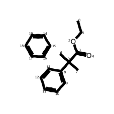 CCOC(=O)C(C)(C)c1ccccc1.c1ccccc1